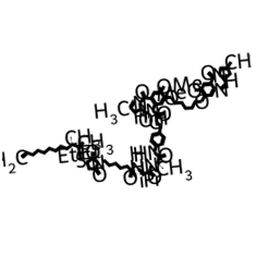 C=CCCCCCCC[C@H](C)C(C)C(CC)(CC)SC1CC(=O)N(CCCCCC(=O)N[C@H](C(=O)N[C@@H](C)C(=O)Nc2ccc(COC(=O)N3c4cc(OCCCCCOc5cc6c(cc5OC)C(=O)N5C=C(C)C[C@H]5C=N6)c(OC)cc4C(=O)N4C=C(C)C[C@H]4[C@@H]3O)cc2)C(C)C)C1=O